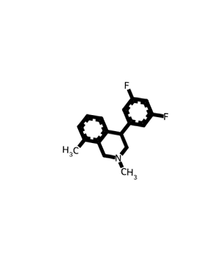 Cc1cccc2c1CN(C)CC2c1cc(F)cc(F)c1